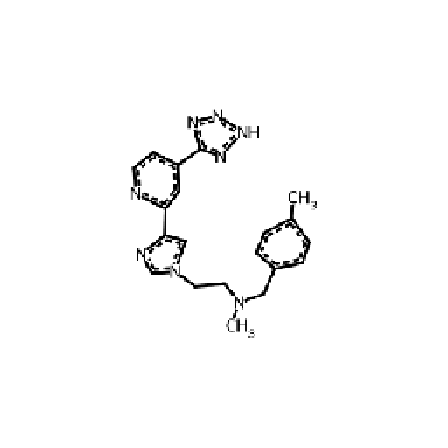 Cc1ccc(CN(C)CCn2cnc(-c3cc(-c4nn[nH]n4)ccn3)c2)cc1